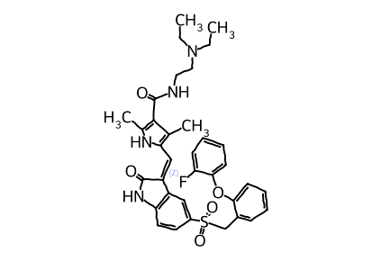 CCN(CC)CCNC(=O)c1c(C)[nH]c(/C=C2\C(=O)Nc3ccc(S(=O)(=O)Cc4ccccc4Oc4ccccc4F)cc32)c1C